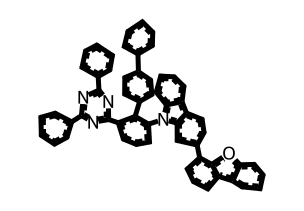 c1ccc(-c2ccc(-c3c(-c4nc(-c5ccccc5)nc(-c5ccccc5)n4)cccc3-n3c4ccccc4c4ccc(-c5cccc6c5oc5ccccc56)cc43)cc2)cc1